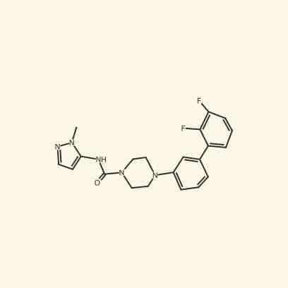 Cn1nccc1NC(=O)N1CCN(c2cccc(-c3cccc(F)c3F)c2)CC1